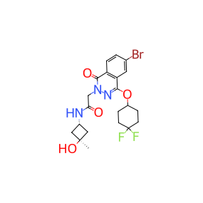 C[C@]1(O)C[C@H](NC(=O)Cn2nc(OC3CCC(F)(F)CC3)c3cc(Br)ccc3c2=O)C1